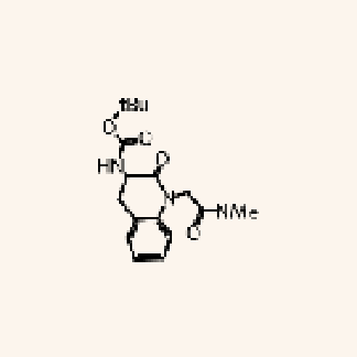 CNC(=O)CN1C(=O)[C@@H](NC(=O)OC(C)(C)C)Cc2ccccc21